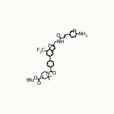 CC(C)(C)OC(=O)N1CCN(C(=O)c2ccc(-c3cc(C(F)(F)F)c4oc(CNC(=O)/C=C/c5ccc(N)nc5)cc4c3)cc2)C(C)(C)C1